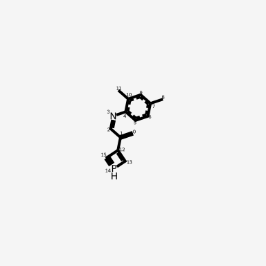 C=C(/C=N\c1ccc(C)cc1C)C1=C[PH]#C1